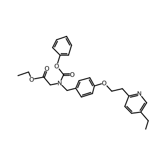 CCOC(=O)CN(Cc1ccc(OCCc2ccc(CC)cn2)cc1)C(=O)Oc1ccccc1